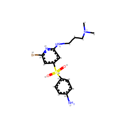 CN(C)CCCNc1cc(S(=O)(=O)c2ccc(N)cc2)cc(Br)n1